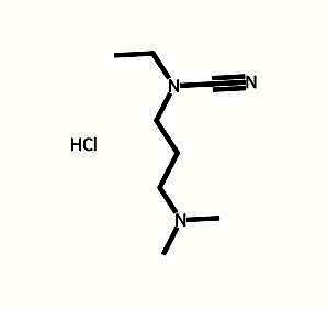 CCN(C#N)CCCN(C)C.Cl